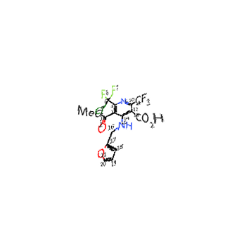 COC(=O)c1c(C(F)(F)Cl)nc(C(F)(F)F)c(C(=O)O)c1NCc1ccco1